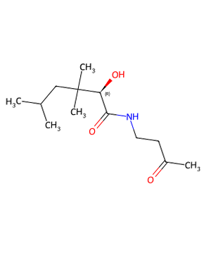 CC(=O)CCNC(=O)[C@H](O)C(C)(C)CC(C)C